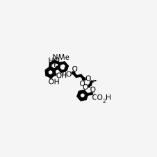 CC[C@]12c3c4ccc(O)c3O[C@H]1C(OC(=O)CCC(=O)O[C@@H](C)C(=O)O[C@H](C(=O)O)c1ccccc1)=CC[C@@]2(O)[C@H](NC)C4